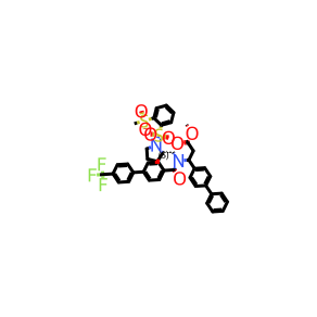 COC(=O)CC(c1ccc(-c2ccccc2)cc1)N(C[C@@H]1CCCN1S(=O)(=O)c1ccccc1S(C)(=O)=O)C(=O)c1ccc(-c2ccc(C(F)(F)F)cc2)cc1